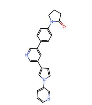 O=C1CCCN1c1ccc(-c2cncc(-c3ccn(-c4cccnc4)c3)c2)cc1